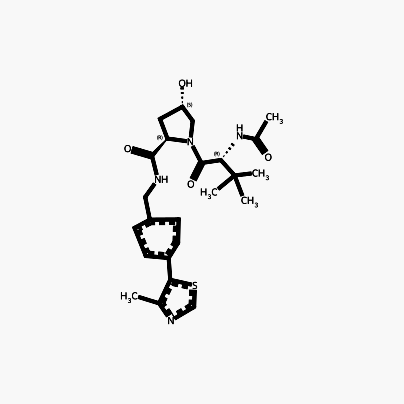 CC(=O)N[C@@H](C(=O)N1C[C@@H](O)C[C@@H]1C(=O)NCc1ccc(-c2scnc2C)cc1)C(C)(C)C